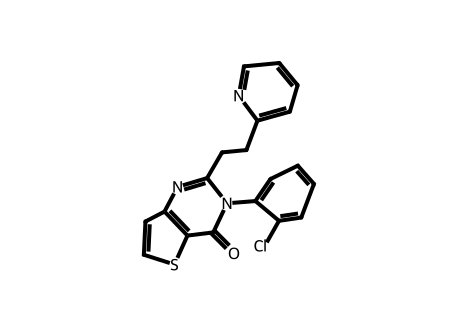 O=c1c2sccc2nc(CCc2ccccn2)n1-c1ccccc1Cl